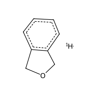 [1H].c1ccc2c(c1)COC2